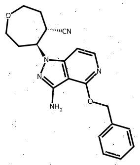 N#C[C@H]1CCOCC[C@@H]1n1nc(N)c2c(OCc3ccccc3)nccc21